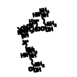 CC(N)=O.CC(N)=O.CNC.CNC.C[N+](C)(C)CCO.C[N+](C)(C)CCO.N=C(N)NCCCC(N)C(=O)O.N=C(N)NCCCC(N)C(=O)O